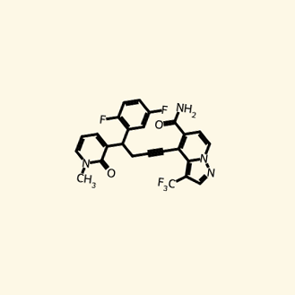 Cn1cccc(C(CC#Cc2c(C(N)=O)ccn3ncc(C(F)(F)F)c23)c2cc(F)ccc2F)c1=O